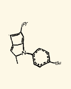 CC(C)C1=[C]C2=CC(C)N(c3ccc(C(C)(C)C)cc3)C2=C1